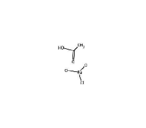 CC(=O)O.[Cl][Ru]([Cl])[Cl]